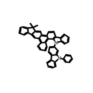 CC1(C)c2ccccc2-c2cc3c4ccccc4c4c(ccc5c6ccccc6n(-c6ccc7c8ccccc8n(-c8ccccc8)c7c6)c54)c3cc21